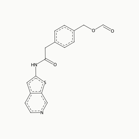 O=COCc1ccc(CC(=O)Nc2cc3ccncc3s2)cc1